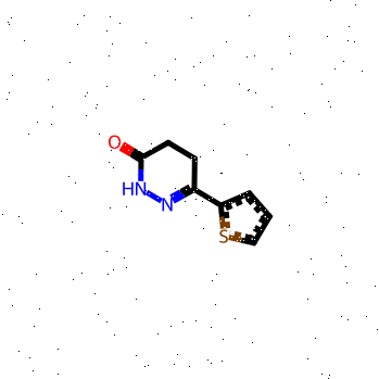 O=C1CCC(c2cccs2)=NN1